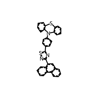 c1ccc2c(c1)Sc1ccccc1N2c1ccc(-c2nc(-c3cc4ccccc4c4ccccc34)ns2)cc1